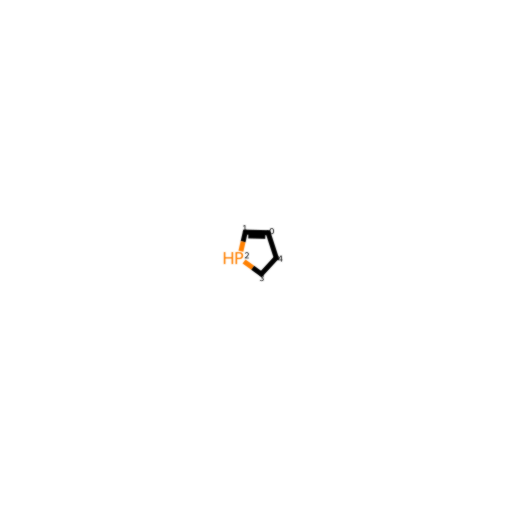 C1=CPCC1